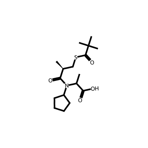 CC(C(=O)O)N(C(=O)[C@@H](C)CSC(=O)C(C)(C)C)C1CCCC1